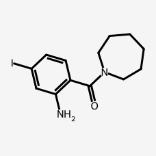 Nc1cc(I)ccc1C(=O)N1CCCCCC1